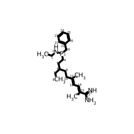 CCNP(CCC(CC)CC/C(C)=C/C=C(\C)C(=N)N)Cc1ccccc1